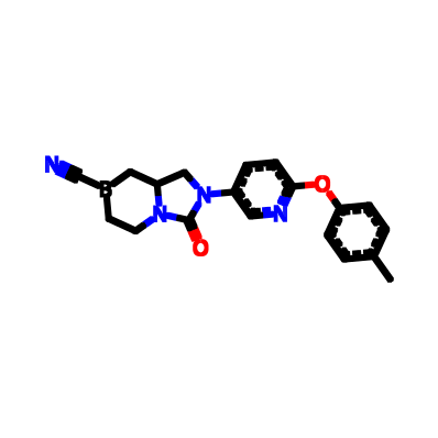 Cc1ccc(Oc2ccc(N3CC4CB(C#N)CCN4C3=O)cn2)cc1